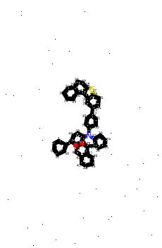 c1ccc(-c2ccc(N(c3ccc(-c4ccc5sc6ccc7ccccc7c6c5c4)cc3)c3ccccc3-c3cccc4ccccc34)cc2)cc1